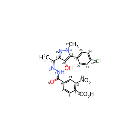 CC(=NNC(=O)c1ccc(C(=O)O)c([N+](=O)[O-])c1)c1nn(C)c(-c2ccc(Cl)cc2)c1O